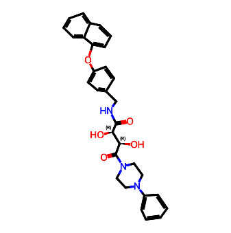 O=C(NCc1ccc(Oc2cccc3ccccc23)cc1)[C@H](O)[C@@H](O)C(=O)N1CCN(c2ccccc2)CC1